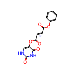 O=C(/C=C/C(=O)Oc1c[nH]c(=O)[nH]c1=O)Oc1ccccc1